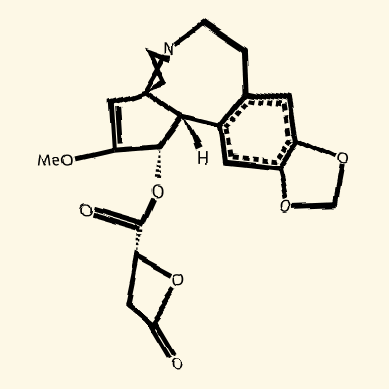 COC1=C[C@]23CCCN2CCc2cc4c(cc2[C@@H]3[C@@H]1OC(=O)[C@H]1CC(=O)O1)OCO4